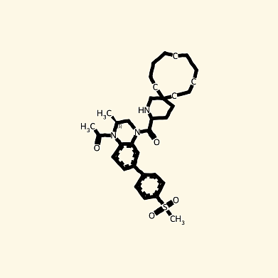 CC(=O)N1c2ccc(-c3ccc(S(C)(=O)=O)cc3)cc2N(C(=O)C2CCC3(CCCCCCCCCC3)CN2)C[C@@H]1C